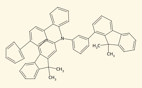 CC1(C)c2ccccc2-c2ccc(N(c3cccc(-c4cccc5c4C(C)(C)c4ccccc4-5)c3)c3ccccc3-c3ccc(-c4ccccc4)cc3)cc21